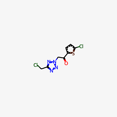 O=C(Cn1nnc(CCl)n1)c1ccc(Cl)s1